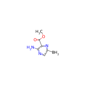 Bc1cnc(N)c(C(=O)OC)n1